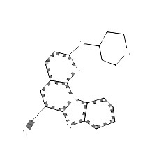 N#Cc1cc2ccc(NC3CCNCC3)nc2n2c1nc1ccccc12